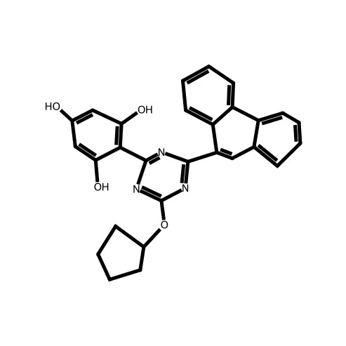 Oc1cc(O)c(-c2nc(OC3CCCC3)nc(-c3cc4ccccc4c4ccccc34)n2)c(O)c1